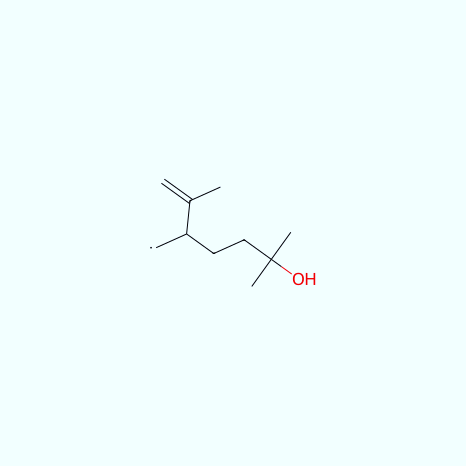 [CH2]C(CCC(C)(C)O)C(=C)C